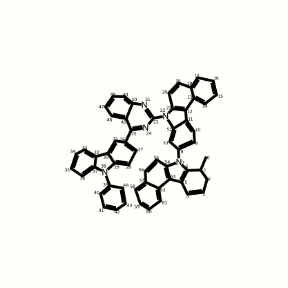 CC1CC=Cc2c1n(-c1ccc3c4c5ccccc5ccc4n(-c4nc(-c5ccc6c(c5)c5ccccc5n6-c5ccccc5)c5ccccc5n4)c3c1)c1ccc3ccccc3c21